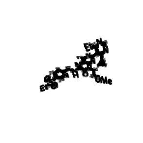 CCc1ncnc(C2CC2)c1-c1ncc2nc(NCc3ccc(S(=O)(=O)CC)cn3)c(=O)n(CCOC)c2n1